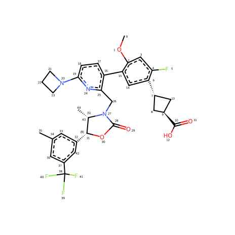 COc1cc(F)c([C@H]2C[C@H](C(=O)O)C2)cc1-c1ccc(N2CCC2)nc1CN1C(=O)O[C@H](c2cc(C)cc(C(F)(F)F)c2)[C@@H]1C